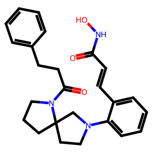 O=C(C=Cc1ccccc1N1CCC2(CCCN2C(=O)CCc2ccccc2)C1)NO